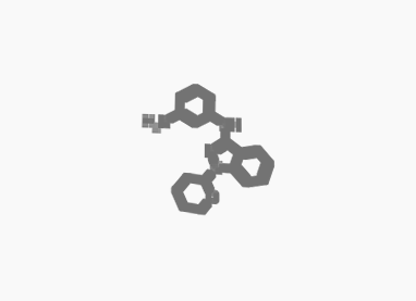 Nc1cccc(Nc2nn(C3CCCCO3)c3ccccc23)c1